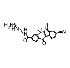 CC1(C)c2cc(C(=O)NCCNSN)ccc2C(=O)c2c1[nH]c1cc(C#N)ccc21